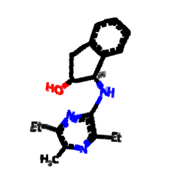 CCc1nc(N[C@@H]2c3ccccc3CC2O)c(CC)nc1C